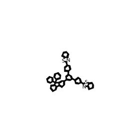 c1ccc(C2(c3ccccc3)c3ccccc3-c3ccc(-c4cc(-c5ccc(-c6nc7ccccc7s6)cc5)cc(-c5ccc(-c6nc7ccccc7s6)cc5)c4)cc32)cc1